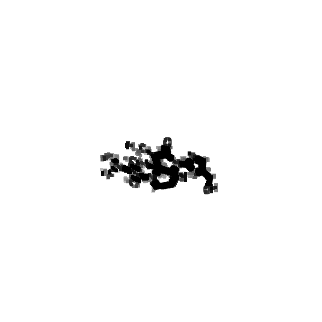 CCCN(C)S(=O)(=O)N1CC[C@H]2[C@H]1[C@H](C)C(=O)N2c1ncc(CO)s1